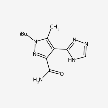 CCC(C)n1nc(C(N)=O)c(-c2nnc[nH]2)c1C